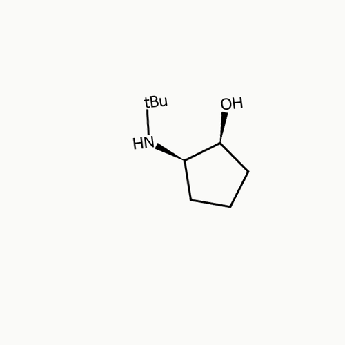 CC(C)(C)N[C@@H]1CCC[C@@H]1O